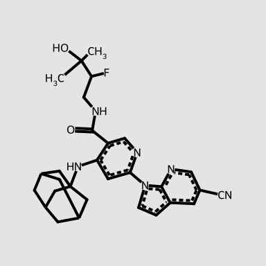 CC(C)(O)C(F)CNC(=O)c1cnc(-n2ccc3cc(C#N)cnc32)cc1NC12CC3CC(CC(C3)C1)C2